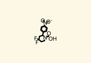 O=C(O)N1CCC(F)(F)CC1c1ccc([N+](=O)[O-])cc1